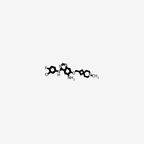 CN1CCC2(CC1)CC(COc1cc3ncnc(Nc4ccc(F)c(Cl)c4)c3cc1N)C2